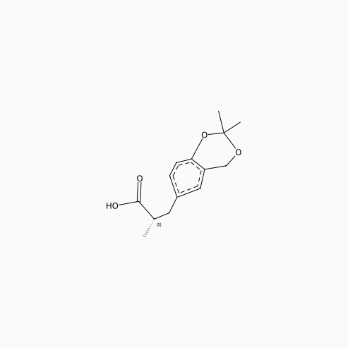 C[C@@H](Cc1ccc2c(c1)COC(C)(C)O2)C(=O)O